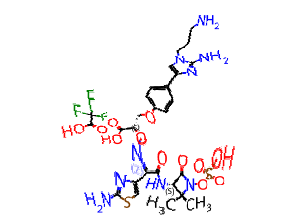 CC1(C)[C@H](NC(=O)/C(=N\O[C@@H](COc2ccc(-c3cn(CCCN)c(N)n3)cc2)C(=O)O)c2csc(N)n2)C(=O)N1OS(=O)(=O)O.O=C(O)C(F)(F)F